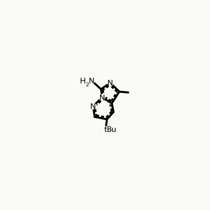 Cc1nc(N)n2ncc(C(C)(C)C)cc12